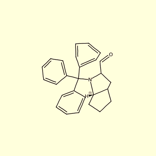 O=CC1CC2CCC[C@@H]2N1C(c1ccccc1)(c1ccccc1)c1ccccc1